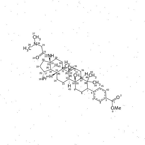 COC(=O)c1ccc(C2CC[C@]3(C)[C@H]4CC[C@@H]5[C@H]6[C@H](C(C)C)CC[C@]6(NC(=O)CN(C)C)CC[C@@]5(C)[C@]4(C)CC[C@H]3C2(C)C)cc1